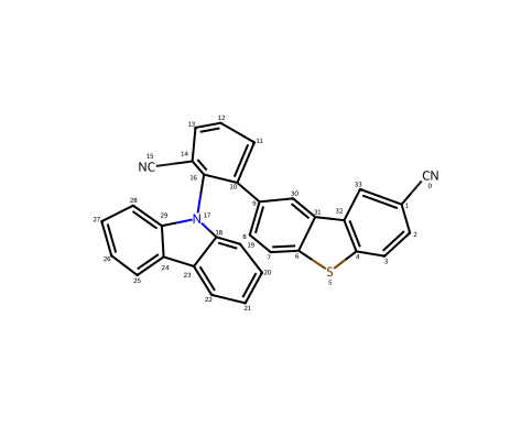 N#Cc1ccc2sc3ccc(-c4cccc(C#N)c4-n4c5ccccc5c5ccccc54)cc3c2c1